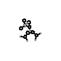 N#Cc1cc(C#N)cc(-c2ccc3c(c2)c2cc(-c4cc(C#N)cc(C#N)c4)ccc2n3-c2ccc(-c3ccccn3)c(-c3nc(-c4ccccc4)nc(-c4ccccc4)n3)c2)c1